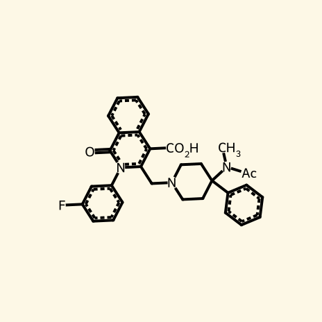 CC(=O)N(C)C1(c2ccccc2)CCN(Cc2c(C(=O)O)c3ccccc3c(=O)n2-c2cccc(F)c2)CC1